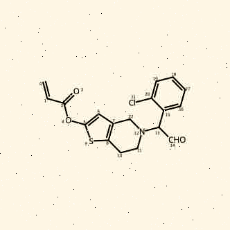 C=CC(=O)Oc1cc2c(s1)CCN(C(C=O)c1ccccc1Cl)C2